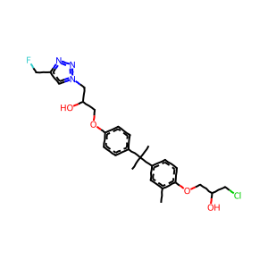 Cc1cc(C(C)(C)c2ccc(OCC(O)Cn3cc(CF)nn3)cc2)ccc1OCC(O)CCl